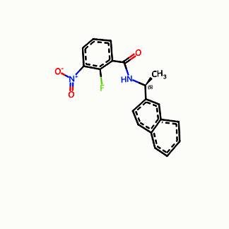 C[C@H](NC(=O)c1cccc([N+](=O)[O-])c1F)c1ccc2ccccc2c1